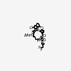 CO[C@H]1/C=C/C[C@H](C)C[S@@](=O)(NC(=O)N2CC(CC(F)F)C2)=NC(=O)c2ccc3c(c2)N(C[C@@H]2CC[C@H]21)C[C@@]1(CCCc2cc(Cl)ccc21)CO3